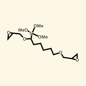 CO[Si](OC)(OC)C(CCCCCOCC1CO1)OCC1CO1